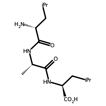 CC(C)C[C@@H](N)C(=O)N[C@@H](C)C(=O)N[C@@H](CC(C)C)C(=O)O